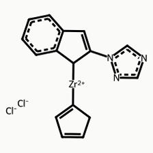 C1=CC[C]([Zr+2][CH]2C(n3cncn3)=Cc3ccccc32)=C1.[Cl-].[Cl-]